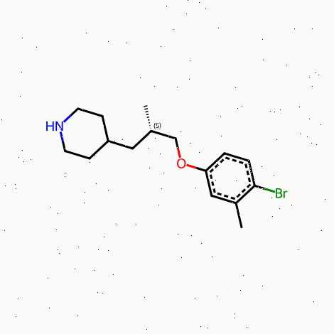 Cc1cc(OC[C@@H](C)CC2CCNCC2)ccc1Br